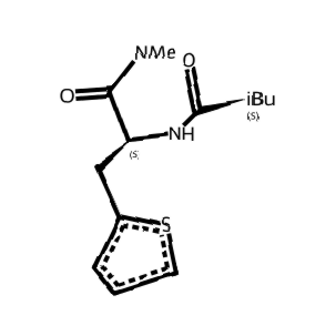 CC[C@H](C)C(=O)N[C@@H](Cc1cccs1)C(=O)NC